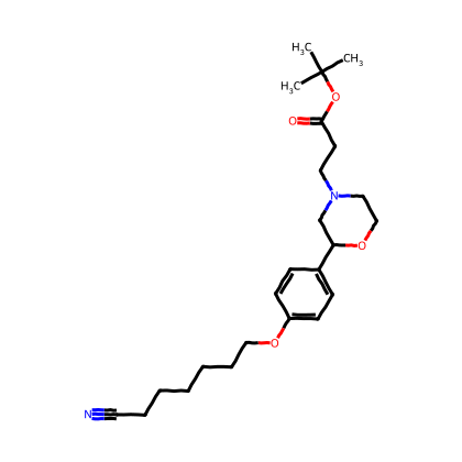 CC(C)(C)OC(=O)CCN1CCOC(c2ccc(OCCCCCCC#N)cc2)C1